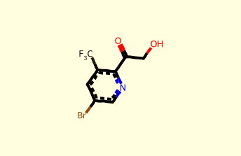 O=C(CO)c1ncc(Br)cc1C(F)(F)F